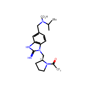 CC(N(Cc1ccc2c(c1)[nH]c(=N)n2C[C@@H]1CCCN1C(=O)C(F)(F)F)C(=O)O)C(C)(C)C